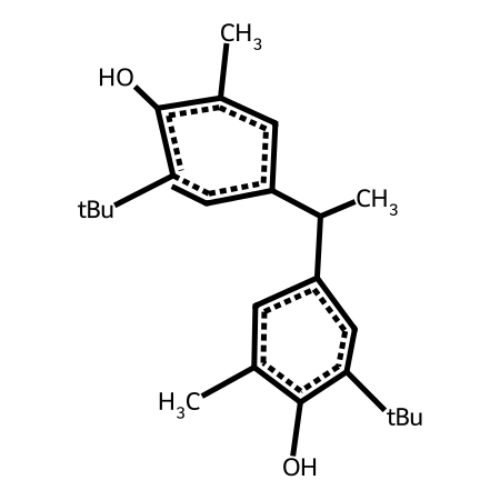 Cc1cc(C(C)c2cc(C)c(O)c(C(C)(C)C)c2)cc(C(C)(C)C)c1O